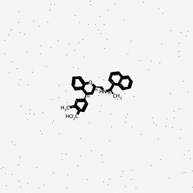 Cc1cc([C@@H]2C[C@H](CN[C@H](C)c3cccc4ccccc34)Oc3ccccc32)ccc1C(=O)O